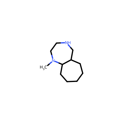 CN1CCNCC2CCCCCC21